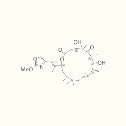 COc1nc(/C=C(\C)[C@@H]2CC(C)C(C)(C)C/C=C/[C@H](C)[C@H](O)[C@@H](C)C(=O)C(C)(C)[C@@H](O)CC(=O)O2)co1